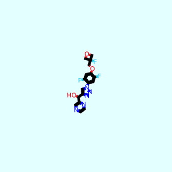 OC(c1cnccn1)c1cn(-c2cc(F)c(OCC3(F)COC3)cc2F)nn1